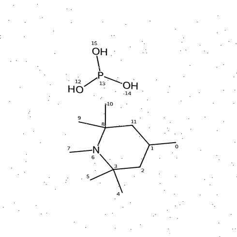 CC1CC(C)(C)N(C)C(C)(C)C1.OP(O)O